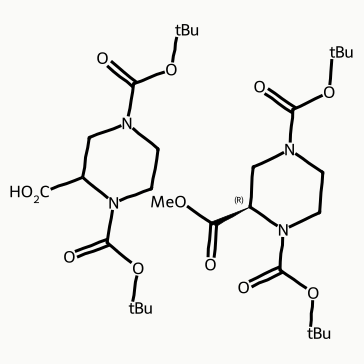 CC(C)(C)OC(=O)N1CCN(C(=O)OC(C)(C)C)C(C(=O)O)C1.COC(=O)[C@H]1CN(C(=O)OC(C)(C)C)CCN1C(=O)OC(C)(C)C